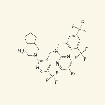 CCN(CC1CCCC1)c1ncc(C(F)(F)F)cc1CN(Cc1cc(C(F)(F)F)cc(C(F)(F)F)c1)c1ncc(Br)cn1